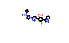 Oc1cc(-c2cnn3c2CCC3)c(F)cc1-c1ccc(N2CC[C@H](NC3CCC3)C2)nn1